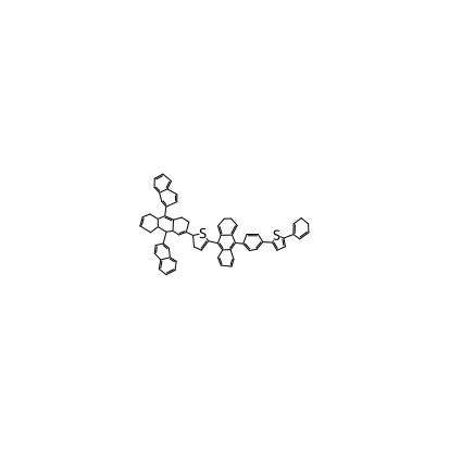 C1=CC(c2ccc(-c3ccc(-c4c5c(c(C6=CCC(C7=CC8C(=C(c9ccc%10ccccc%10c9)C9CC=CCC9C8c8ccc9ccccc9c8)CC7)S6)c6ccccc46)=CCCC=5)cc3)s2)=CCC1